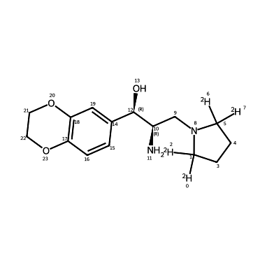 [2H]C1([2H])CCC([2H])([2H])N1C[C@@H](N)[C@H](O)c1ccc2c(c1)OCCO2